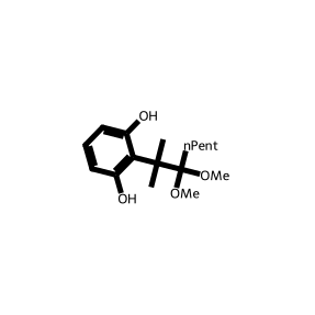 CCCCCC(OC)(OC)C(C)(C)c1c(O)cccc1O